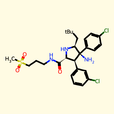 CC(C)(C)C[C@@H]1N[C@@H](C(=O)NCCCS(C)(=O)=O)[C@H](c2cccc(Cl)c2)[C@@]1(N)c1ccc(Cl)cc1